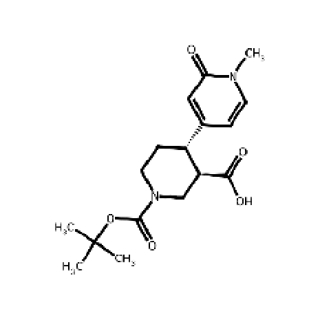 Cn1ccc([C@H]2CCN(C(=O)OC(C)(C)C)C[C@@H]2C(=O)O)cc1=O